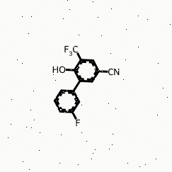 N#Cc1cc(-c2cccc(F)c2)c(O)c(C(F)(F)F)c1